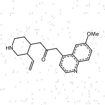 C=CC1CNCCC1CC(=O)Cc1ccnc2ccc(OC)cc12